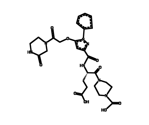 O=C(O)CC[C@H](NC(=O)c1cc(OCC(=O)N2CCNC(=O)C2)n(-c2ccccc2)n1)C(=O)N1CCN(C(=O)O)CC1